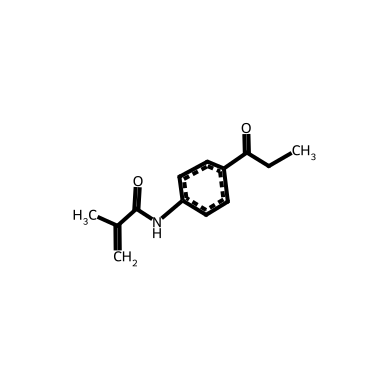 C=C(C)C(=O)Nc1ccc(C(=O)CC)cc1